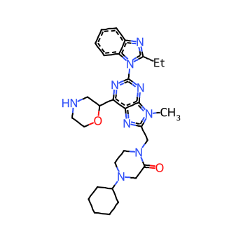 CCc1nc2ccccc2n1-c1nc(C2CNCCO2)c2nc(CN3CCN(C4CCCCC4)CC3=O)n(C)c2n1